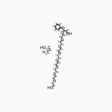 C=CC(=O)O.OCCOCCOCCOCCOCCOCCOCCOCCOC(CO)Oc1ccccc1